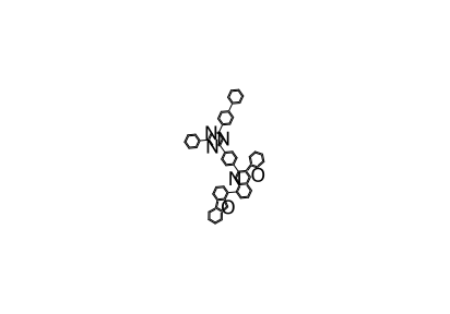 c1ccc(-c2ccc(-c3nc(-c4ccccc4)nc(-c4ccc(-c5nc6c(-c7cccc8c7oc7ccccc78)cccc6c6oc7ccccc7c56)cc4)n3)cc2)cc1